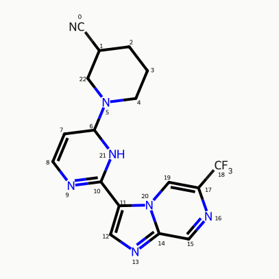 N#CC1CCCN(C2C=CN=C(c3cnc4cnc(C(F)(F)F)cn34)N2)C1